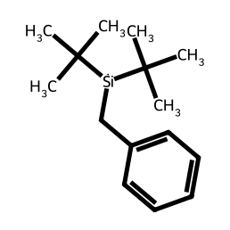 CC(C)(C)[Si](Cc1ccccc1)C(C)(C)C